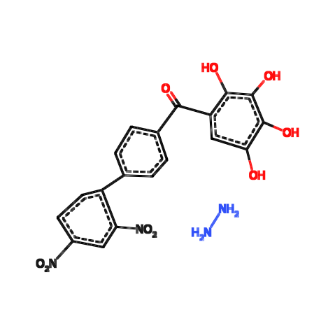 NN.O=C(c1ccc(-c2ccc([N+](=O)[O-])cc2[N+](=O)[O-])cc1)c1cc(O)c(O)c(O)c1O